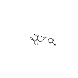 C[C@H]1CN(Cc2ccc(Br)nc2)CCN1C(=O)O